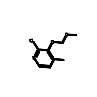 COCOc1c(C)ccnc1Cl